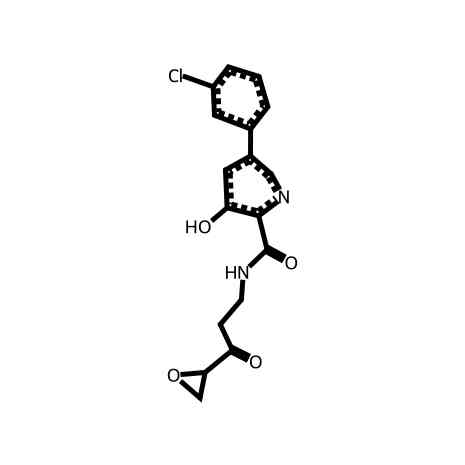 O=C(NCCC(=O)C1CO1)c1ncc(-c2cccc(Cl)c2)cc1O